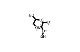 CCC(COC)OC(CC)COS